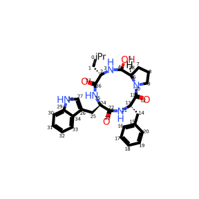 CC(C)C[C@@H]1NC(O)[C@H]2CCCN2C(=O)[C@H](Cc2ccccc2)NC(=O)[C@@H](Cc2c[nH]c3ccccc23)NC1=O